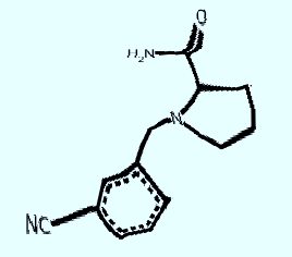 N#Cc1cccc(CN2CC[CH]C2C(N)=O)c1